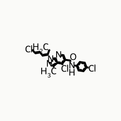 C=C/C(=C\C=C\Cl)n1nc(C)c2c(Cl)c(C(=O)Nc3ccc(Cl)cc3)cnc21